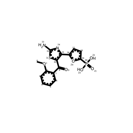 COc1ccccc1C(=O)c1sc(N)nc1-c1ccc(P(=O)(O)O)o1